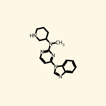 CN(c1nccc(-n2cnc3ccccc32)n1)C1CCCNC1